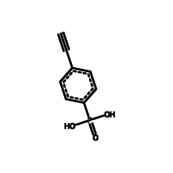 [C]#Cc1ccc(P(=O)(O)O)cc1